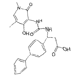 Cc1cn(C)c(=O)c(NC(=O)NC(CC(=O)O)c2ccc(-c3ccccc3)cc2)c1O